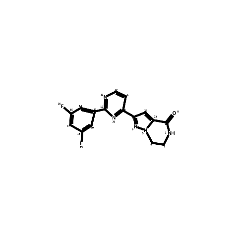 O=C1NCCn2nc(-c3ccnc(-c4cc(F)cc(F)c4)n3)cc21